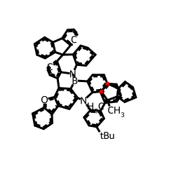 CC(C)(C)c1ccc(N2c3cc4c(oc5ccccc54)c4c3B(c3ccc5c(c32)C(C)(C)c2ccccc2-5)N2c3ccccc3C3(c5ccccc5-c5ccccc53)c3cccc-4c32)c(-c2ccccc2)c1